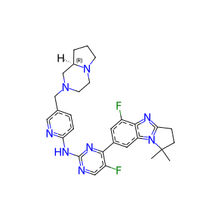 CC1(C)CCc2nc3c(F)cc(-c4nc(Nc5ccc(CN6CCN7CCC[C@@H]7C6)cn5)ncc4F)cc3n21